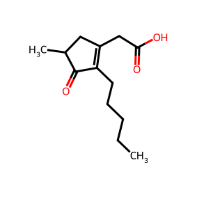 CCCCCC1=C(CC(=O)O)CC(C)C1=O